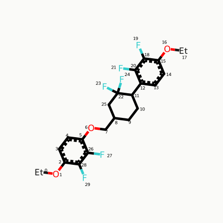 CCOc1ccc(OCC2CCC(c3ccc(OCC)c(F)c3F)C(F)(F)C2)c(F)c1F